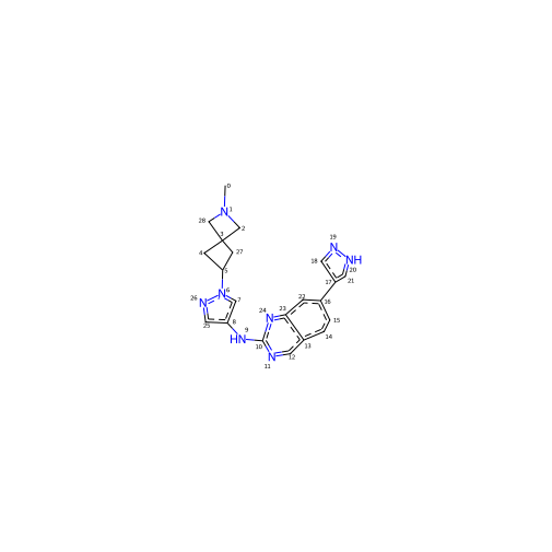 CN1CC2(CC(n3cc(Nc4ncc5ccc(-c6cn[nH]c6)cc5n4)cn3)C2)C1